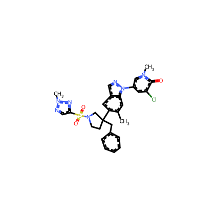 Cc1cc2c(cnn2-c2cc(Cl)c(=O)n(C)c2)cc1C1(Cc2ccccc2)CCN(S(=O)(=O)c2cnn(C)n2)C1